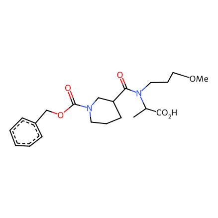 COCCCN(C(=O)C1CCCN(C(=O)OCc2ccccc2)C1)C(C)C(=O)O